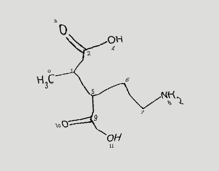 CC(C(=O)O)C(CCN)C(=O)O